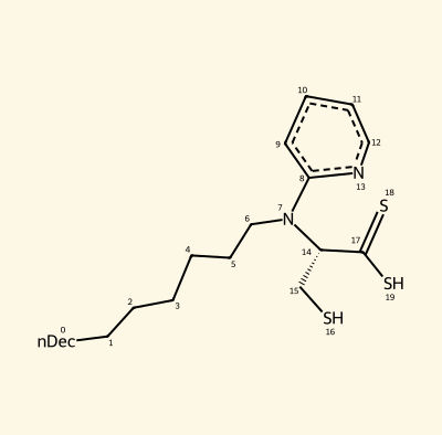 CCCCCCCCCCCCCCCCN(c1ccccn1)[C@@H](CS)C(=S)S